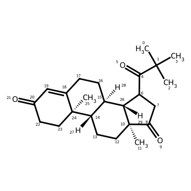 CC(C)(C)C(=O)C1CC(=O)[C@@]2(C)CC[C@H]3[C@@H](CCC4=CC(=O)CC[C@@]43C)[C@H]12